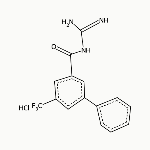 Cl.N=C(N)NC(=O)c1cc(-c2ccccc2)cc(C(F)(F)F)c1